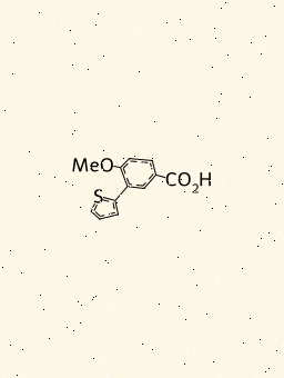 COc1ccc(C(=O)O)cc1-c1cccs1